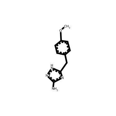 COc1ccc(Cc2nc(N)n[nH]2)cc1